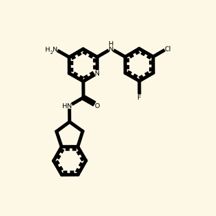 Nc1cc(Nc2cc(F)cc(Cl)c2)nc(C(=O)NC2Cc3ccccc3C2)c1